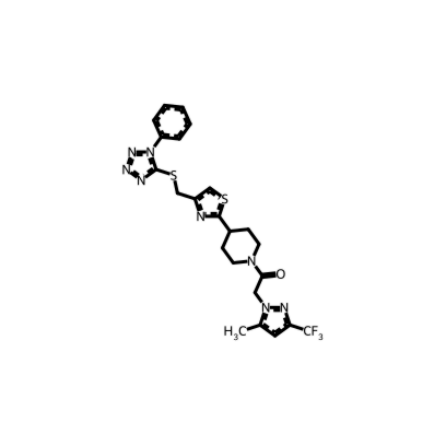 Cc1cc(C(F)(F)F)nn1CC(=O)N1CCC(c2nc(CSc3nnnn3-c3ccccc3)cs2)CC1